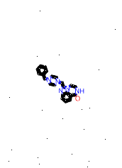 O=C1NCCn2c(CN3CCN(Cc4ccccc4)CC3)nc3cccc1c32